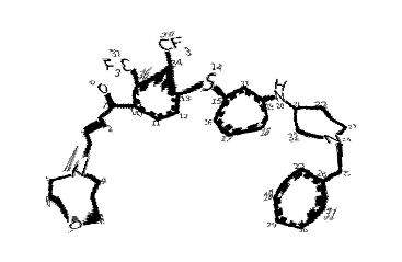 O=C(C=CN1CCOCC1)c1ccc(Sc2cccc(NC3CCN(Cc4ccccc4)C3)c2)c(C(F)(F)F)c1C(F)(F)F